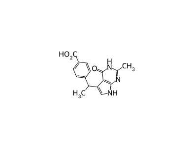 Cc1nc2[nH]cc(C(C)c3ccc(C(=O)O)cc3)c2c(=O)[nH]1